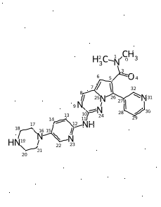 CN(C)C(=O)c1cc2cnc(Nc3ccc(N4CCNCC4)cn3)nn2c1-c1cccnc1